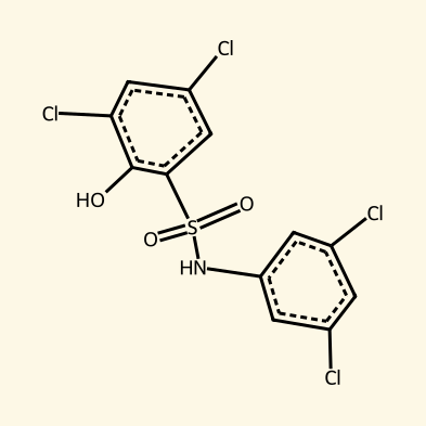 O=S(=O)(Nc1cc(Cl)cc(Cl)c1)c1cc(Cl)cc(Cl)c1O